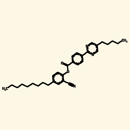 CCCCCCCCCc1ccc(OC(=O)c2ccc(-c3ncc(CCCCC)cn3)cc2)c(C#N)c1